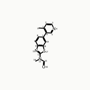 Cc1ccncc1-c1ccc2nc(N(C)C=O)sc2c1